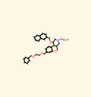 O=C(O)ON1CC(CO)C(c2ccc(COCCOCc3ccccc3)cc2)C(OCc2ccc3ccccc3c2)C1